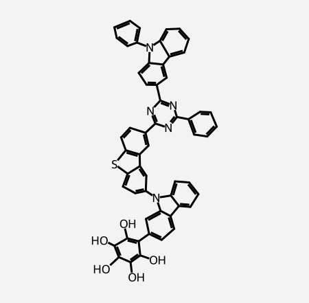 Oc1c(O)c(O)c(-c2ccc3c4ccccc4n(-c4ccc5sc6ccc(-c7nc(-c8ccccc8)nc(-c8ccc9c(c8)c8ccccc8n9-c8ccccc8)n7)cc6c5c4)c3c2)c(O)c1O